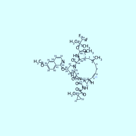 CC[C@@H]1C[C@@H](C)CC/C=C\[C@@H]2C[C@@]2(C(=O)NS(=O)(=O)C2(C)CC2)NC(=O)[C@@H]2C[C@@H](Oc3nccc4cc(OC)ccc34)CN2C(=O)[C@H]1NC(=O)OC(C)(C)C(F)F